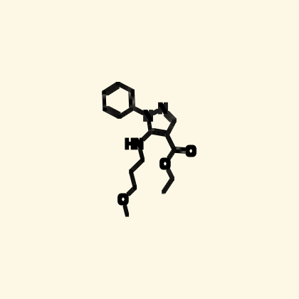 CCOC(=O)c1cnn(-c2ccccc2)c1NCCCOC